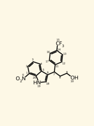 O=[N+]([O-])c1cccc2c(C(CCO)c3ccc(C(F)(F)F)cc3)c[nH]c12